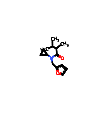 CC(C)C(C)C(=O)N(Cc1ccco1)C1CC1